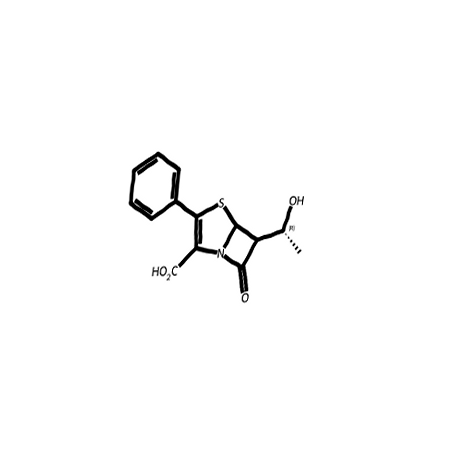 C[C@@H](O)C1C(=O)N2C(C(=O)O)=C(c3ccccc3)SC12